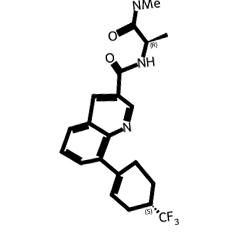 CNC(=O)[C@@H](C)NC(=O)c1cnc2c(C3=CC[C@@H](C(F)(F)F)CC3)cccc2c1